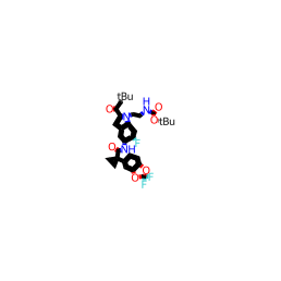 CC(C)(C)CC(=O)c1cc2cc(NC(=O)C3(c4ccc5c(c4)OC(F)(F)O5)CC3)c(F)cc2n1CCNC(=O)OC(C)(C)C